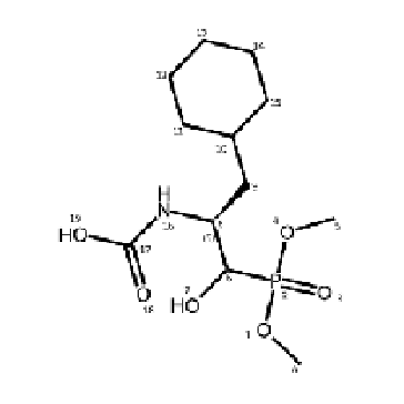 COP(=O)(OC)C(O)[C@H](CC1CCCCC1)NC(=O)O